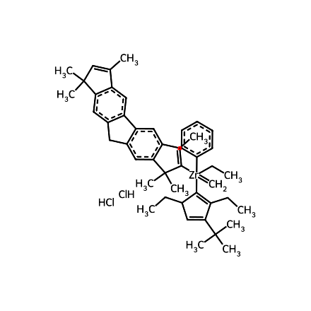 Cl.Cl.[CH2]=[Zr]([CH2]C)([C]1=C(CC)C(C(C)(C)C)=CC1CC)([C]1=C(C)c2cc3c(cc2C1(C)C)Cc1cc2c(cc1-3)C(C)=CC2(C)C)[c]1ccccc1